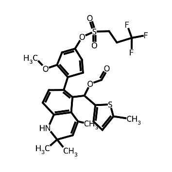 COc1cc(OS(=O)(=O)CCC(F)(F)F)ccc1-c1ccc2c(c1C(OC=O)c1ccc(C)s1)C(C)=CC(C)(C)N2